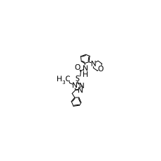 CCn1c(Cc2ccccc2)nnc1SCC(=O)Nc1ccccc1N1CCOCC1